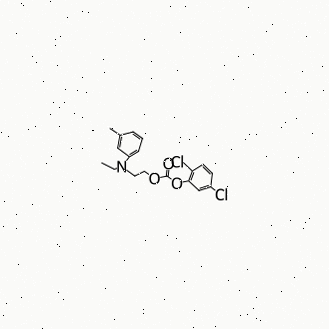 CCN(CCOC(=O)Oc1cc(Cl)ccc1Cl)c1cccc(C)c1